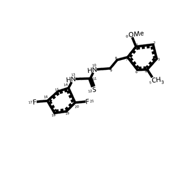 COc1ccc(C)cc1CCNC(=S)Nc1cc(F)ccc1F